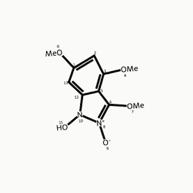 COc1cc(OC)c2c(OC)[n+]([O-])n(O)c2c1